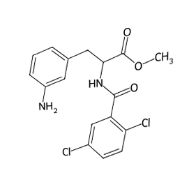 COC(=O)C(Cc1cccc(N)c1)NC(=O)c1cc(Cl)ccc1Cl